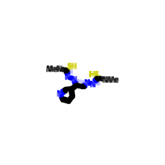 CN/C(S)=N/N=C/C(=N/N=C(\S)NC)c1cccnc1